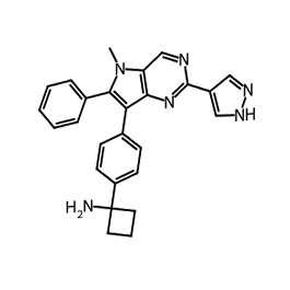 Cn1c(-c2ccccc2)c(-c2ccc(C3(N)CCC3)cc2)c2nc(-c3cn[nH]c3)ncc21